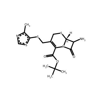 Cc1ncsc1SCC1=C(C(=O)OC(C)(C)C)N2C(=O)C(N)[C@H]2SC1